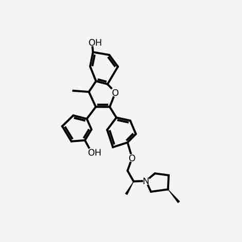 CC1C(c2cccc(O)c2)=C(c2ccc(OC[C@H](C)N3CC[C@@H](C)C3)cc2)Oc2ccc(O)cc21